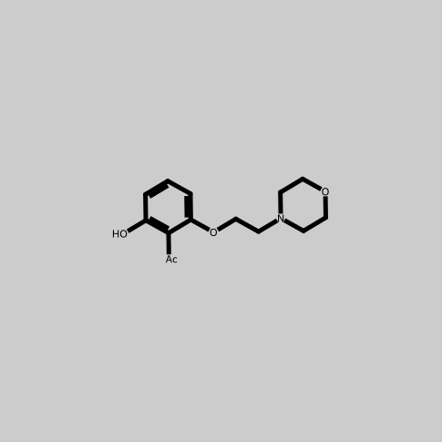 CC(=O)c1c(O)cccc1OCCN1CCOCC1